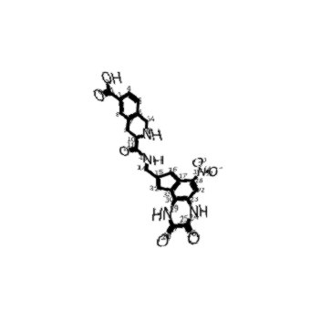 O=C(O)c1ccc2c(c1)CC(C(=O)NCC1Cc3c([N+](=O)[O-])cc4[nH]c(=O)c(=O)[nH]c4c3C1)NC2